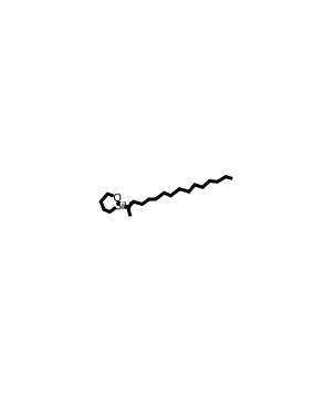 CCCCCCCCCCCCCCC(C)[SiH]1CCCCO1